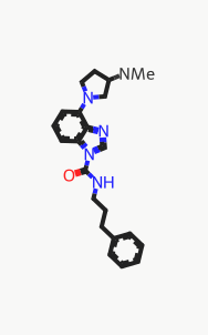 CNC1CCN(c2cccc3c2ncn3C(=O)NCCCc2ccccc2)C1